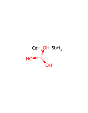 OB(O)O.[CaH2].[SbH3]